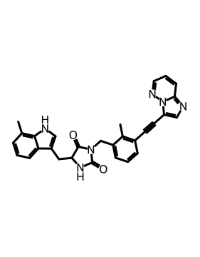 Cc1c(C#Cc2cnc3cccnn23)cccc1CN1C(=O)NC(Cc2c[nH]c3c(C)cccc23)C1=O